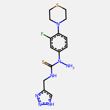 NN(C(=S)NCc1c[nH]nn1)c1ccc(N2CCSCC2)c(F)c1